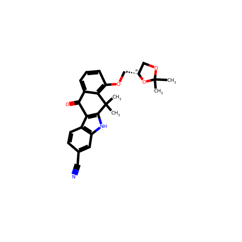 CC1(C)OC[C@@H](COc2cccc3c2C(C)(C)c2[nH]c4cc(C#N)ccc4c2C3=O)O1